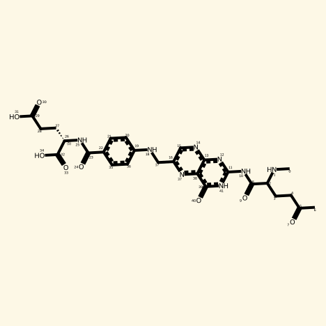 CNC(CCC(C)=O)C(=O)Nc1nc2ncc(CNc3ccc(C(=O)N[C@@H](CCC(=O)O)C(=O)O)cc3)nc2c(=O)[nH]1